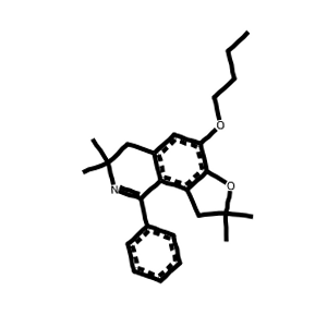 CCCCOc1cc2c(c3c1OC(C)(C)C3)C(c1ccccc1)=NC(C)(C)C2